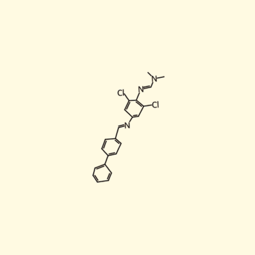 CN(C)C=Nc1c(Cl)cc(N=Cc2ccc(-c3ccccc3)cc2)cc1Cl